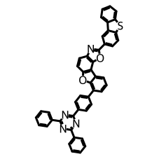 c1ccc(-c2nc(-c3ccccc3)nc(-c3ccc(-c4cccc5c4oc4ccc6nc(-c7ccc8sc9ccccc9c8c7)oc6c45)cc3)n2)cc1